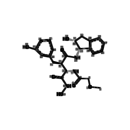 COCC(=O)N[C@H](C(=O)NO)[C@@H](Cc1cccc(O)c1)C(=O)N[C@H]1c2ccccc2C[C@H]1O